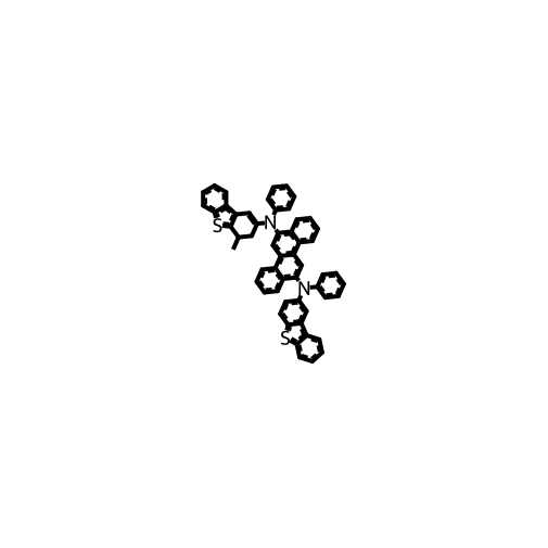 CC1CC(N(c2ccccc2)c2cc3c4ccccc4c(N(c4ccccc4)c4ccc5sc6ccccc6c5c4)cc3c3ccccc23)=Cc2c1sc1ccccc21